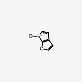 [O-][s+]1ccc2ccoc21